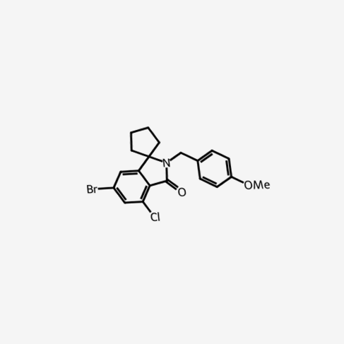 COc1ccc(CN2C(=O)c3c(Cl)cc(Br)cc3C23CCCC3)cc1